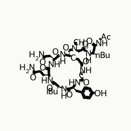 CCCC[C@H](NC(=O)CN(C)C(=O)[C@@H]1CCC(=O)NCC(=O)N[C@@H](Cc2ccc(O)cc2)C(=O)N[C@@H]([C@@H](C)CC)C(=O)N[C@@H](CCC(N)=O)C(=O)N[C@@H](CC(N)=O)C(=O)N1)C(=O)NCC(C)=O